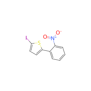 O=[N+]([O-])c1ccccc1-c1ccc(I)s1